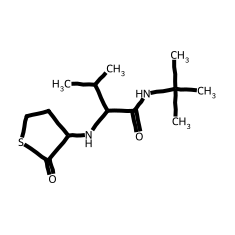 CC(C)C(NC1CCSC1=O)C(=O)NC(C)(C)C